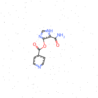 NC(=O)c1[nH]cnc1OC(=O)c1ccncc1